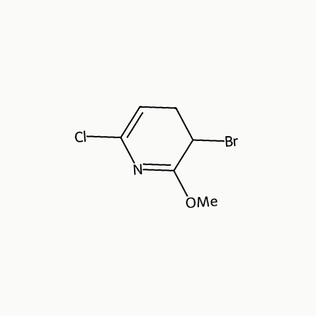 COC1=NC(Cl)=CCC1Br